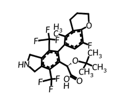 Cc1c(-c2c([C@H](OC(C)(C)C)C(=O)O)c(C(F)(F)F)c3c(c2C(F)(F)F)CNC3)cc(F)c2c1CCCO2